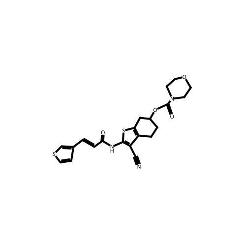 N#Cc1c(NC(=O)C=Cc2ccsc2)sc2c1CCC(OC(=O)N1CCOCC1)C2